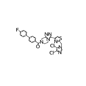 O=C(c1ccc(-c2ccc(F)cc2)cc1)N1CCn2c(nnc2-c2csc(Cn3cnc(Cl)c3Cl)n2)C1